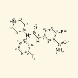 NC(=O)c1cc(NC(=O)N(c2cccc(F)c2)C2CCNCC2)ccc1F